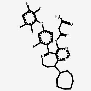 O=C(CC(=O)C(F)(F)F)Nc1ncnc2c1C(c1ccc(Oc3c(F)c(F)cc(F)c3F)cc1F)=NCCC2C1CCCCCCC1